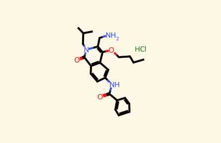 CCCCOc1c(CN)n(CC(C)C)c(=O)c2ccc(NC(=O)c3ccccc3)cc12.Cl